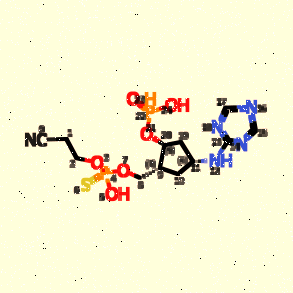 N#CCCOP(O)(=S)OC[C@H]1C[C@@H](Nc2ncncn2)C[C@@H]1O[PH](=O)O